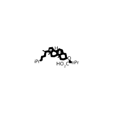 CCCC(O[C@H]1CC[C@@]2(C)C(=CC[C@H]3[C@@H]4CC[C@H]([C@H](C)CCCC(C)C)[C@@]4(C)CC[C@@H]32)C1)C(=O)O